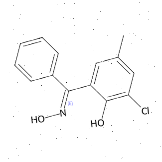 Cc1cc(Cl)c(O)c(/C(=N/O)c2ccccc2)c1